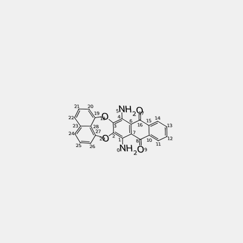 Nc1c2c(c(N)c3c1C(=O)c1ccccc1C3=O)Oc1cccc3cccc(c13)O2